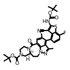 Cc1nn2c3c(cc(F)c(-c4ccc(F)c5sc(NC(=O)OC(C)(C)C)c(C#N)c45)c13)C(=O)N1CCN(C(=O)OC(C)(C)C)C[C@@H]1CC2